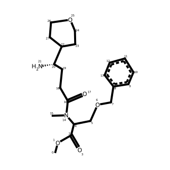 COC(=O)C(COCc1ccccc1)N(C)C(=O)CC[C@H](N)C1CCOCC1